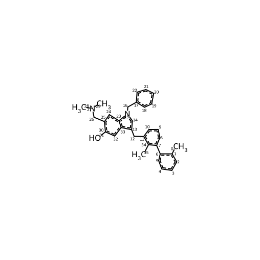 Cc1ccccc1-c1cccc(Cc2cn(Cc3ccccc3)c3cc(CN(C)C)c(O)cc23)c1C